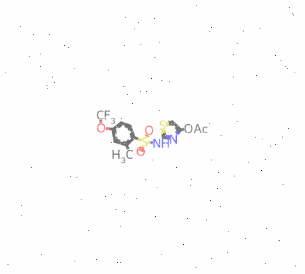 CC(=O)Oc1csc(NS(=O)(=O)c2ccc(OC(F)(F)F)cc2C)n1